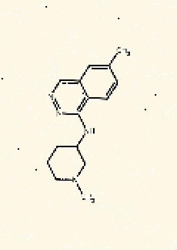 Cc1ccc2c(NC3CCCN(C)C3)nncc2c1